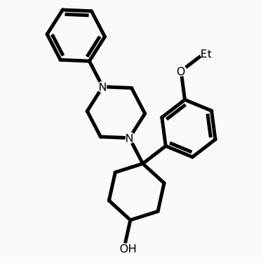 CCOc1cccc(C2(N3CCN(c4ccccc4)CC3)CCC(O)CC2)c1